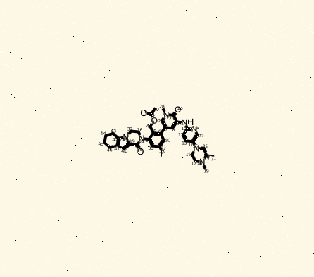 CC(=O)OCc1c(-c2cc(Nc3ccc(N4CCN(C)[C@H](C)C4)cn3)c(=O)n(C)c2)cc(F)cc1N1CCn2c(cc3c2CCCC3)C1=O